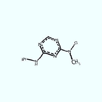 CC(C)Nc1ncnc(N(C)Cl)n1